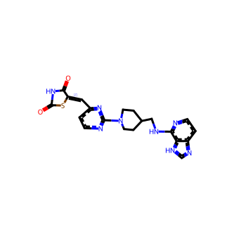 O=C1NC(=O)/C(=C/c2ccnc(N3CCC(CNc4nccc5nc[nH]c45)CC3)n2)S1